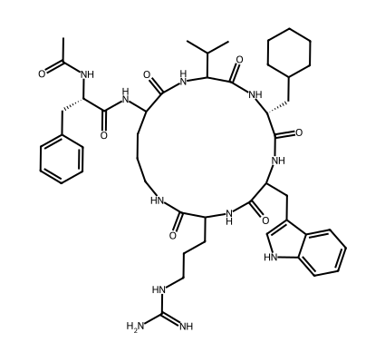 CC(=O)N[C@@H](Cc1ccccc1)C(=O)NC1CCCNC(=O)C(CCCNC(=N)N)NC(=O)C(Cc2c[nH]c3ccccc23)NC(=O)[C@@H](CC2CCCCC2)NC(=O)C(C(C)C)NC1=O